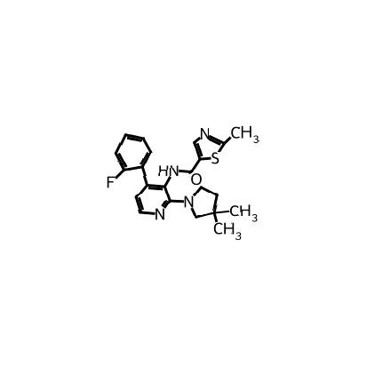 Cc1ncc(C(=O)Nc2c(-c3ccccc3F)ccnc2N2CCC(C)(C)C2)s1